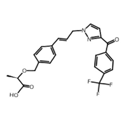 C[C@@H](OCc1ccc(/C=C/Cn2ccc(C(=O)c3ccc(C(F)(F)F)cc3)n2)cc1)C(=O)O